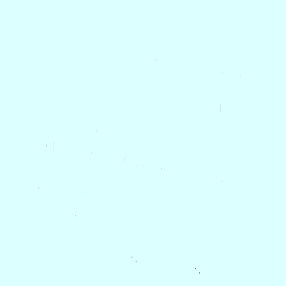 N#Cc1sc2c(=O)c3ccccc3c(=O)c=2sc1C#N.O=C1C(Cl)=C(Cl)C(=O)C(Cl)=C1Cl.O=C1C(Cl)=C(Cl)C(=O)c2ccccc21